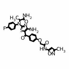 Cc1cc(NC(=O)COc2ccc(C(=O)c3sc(N(c4ccc(F)cc4)C(C)C(N)=O)nc3N)cc2)on1